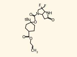 C=CCOC(=O)C1CCC(OC(=O)N2CC(F)(F)C3NC(=O)CC32)(C(C)(C)C)CC1